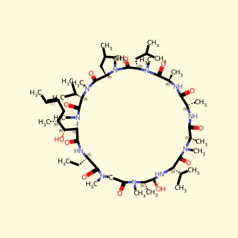 C/C=C/C[C@@H](C)[C@@H](O)[C@H]1C(=O)N[C@@H](CC)C(=O)N(C)CC(=O)N(C)[C@@H](C)C(O)N[C@@H](C(C)C)C(=O)N(C)[C@@H](C)C(=O)N[C@@H](C)C(=O)N[C@H](C)C(=O)N(C)[C@@H](CC(C)C)C(=O)N(C)[C@H](CC(C)C)C(=O)N(C)[C@@H](C(C)C)C(=O)N1C